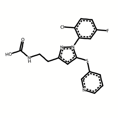 O=C(O)NCCc1cc(Sc2cccnc2)n(-c2cc(F)ccc2Cl)n1